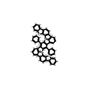 c1ccc(-c2c3c4cccc5c6ccc7c8ccccc8oc7c6n(c3c(-c3ccccc3)c3c6cccc7c8ccc9c%10ccccc%10oc9c8n(c23)c76)c54)cc1